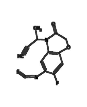 C#CC(C)N1C(=O)COc2cc(F)c(N=C=S)cc21